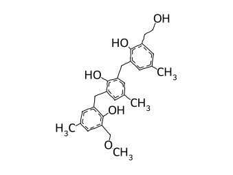 COCc1cc(C)cc(Cc2cc(C)cc(Cc3cc(C)cc(CCO)c3O)c2O)c1O